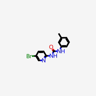 Cc1cccc(NC(=O)Nc2ccc(Br)cn2)c1